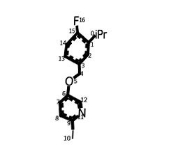 CC(C)c1cc(COc2ccc(I)nc2)ccc1F